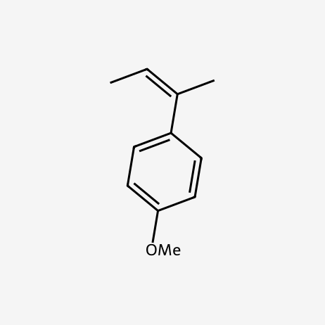 C/C=C(/C)c1ccc(OC)cc1